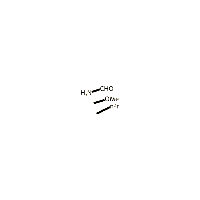 CCCC.COC.NC=O